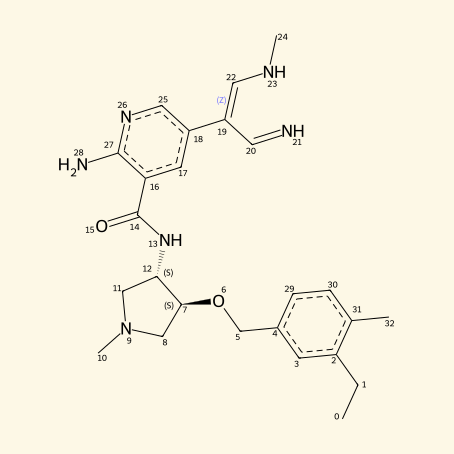 CCc1cc(CO[C@H]2CN(C)C[C@@H]2NC(=O)c2cc(/C(C=N)=C/NC)cnc2N)ccc1C